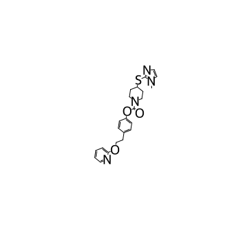 Cn1ccnc1SC1CCN(C(=O)Oc2ccc(CCOc3ccccn3)cc2)CC1